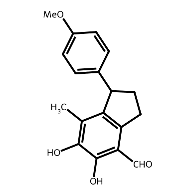 COc1ccc(C2CCc3c(C=O)c(O)c(O)c(C)c32)cc1